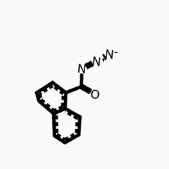 [N-]=[N+]=NC(=O)c1cccc2ccccc12